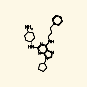 N[C@H]1CC[C@H](Nc2nc(NCCCc3ccccc3)c3ncn(C4CCCC4)c3n2)CC1